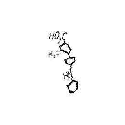 Cc1cc(C(=O)O)ccc1-c1ccc(CNc2ccccc2)cc1